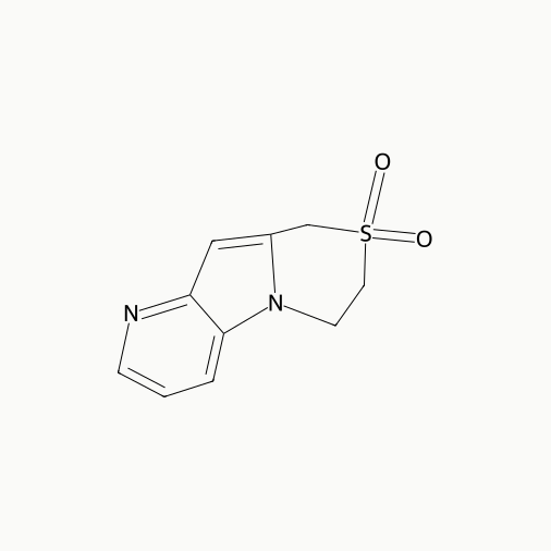 O=S1(=O)CCn2c(cc3ncccc32)C1